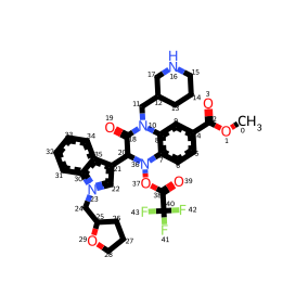 COC(=O)c1ccc2c(c1)N(CC1CCCNC1)C(=O)C(c1cn(CC3CCCO3)c3ccccc13)N2OC(=O)C(F)(F)F